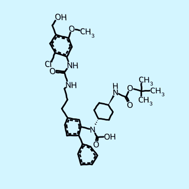 COc1cc(NC(=O)NCCCc2ccc(-c3ccccc3)c(N(C(=O)O)[C@H]3CC[C@H](NC(=O)OC(C)(C)C)CC3)c2)c(Cl)cc1CO